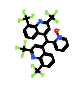 [O-][n+]1ccccc1C(c1cc(C(F)(F)F)nc2c(C(F)(F)F)cccc12)c1cc(C(F)(F)F)nc2c(C(F)(F)F)cccc12